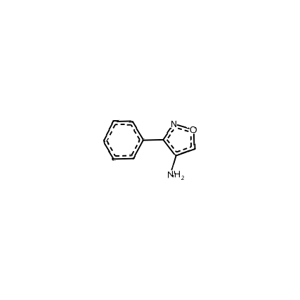 Nc1conc1-c1ccccc1